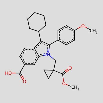 COC(=O)C1(Cn2c(-c3ccc(OC)cc3)c(C3CCCCC3)c3ccc(C(=O)O)cc32)CC1